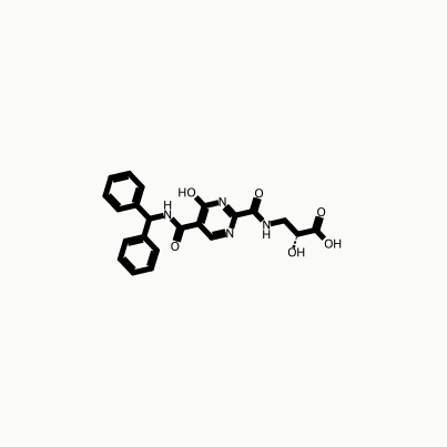 O=C(NC[C@@H](O)C(=O)O)c1ncc(C(=O)NC(c2ccccc2)c2ccccc2)c(O)n1